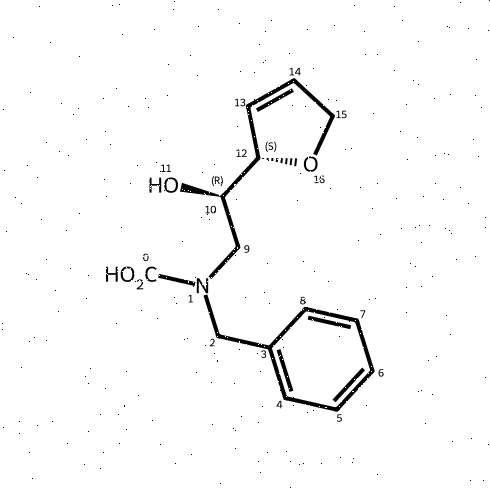 O=C(O)N(Cc1ccccc1)C[C@@H](O)[C@@H]1C=CCO1